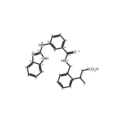 CC(CC(=O)O)c1ccccc1CNC(=O)c1cccc(Nc2nc3ccccc3[nH]2)c1